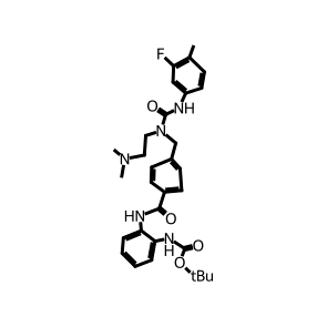 Cc1ccc(NC(=O)N(CCN(C)C)Cc2ccc(C(=O)Nc3ccccc3NC(=O)OC(C)(C)C)cc2)cc1F